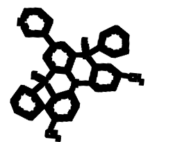 Cc1ccc2c(c1)P(=S)(c1ccccc1)c1cc(-c3cccnc3)cc3c1N2c1ccc(C)cc1P3(=S)c1ccccc1